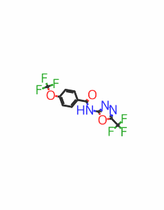 O=C(Nc1nnc(C(F)(F)F)o1)c1ccc(OC(F)(F)F)cc1